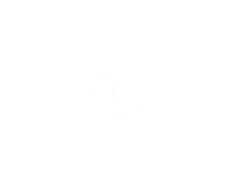 COc1ccc(Cl)cc1C(=S)/N=c1\sc(C(C)(C)C)cn1CC(C)(C)C